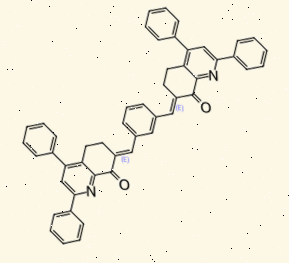 O=C1/C(=C/c2cccc(/C=C3\CCc4c(-c5ccccc5)cc(-c5ccccc5)nc4C3=O)c2)CCc2c(-c3ccccc3)cc(-c3ccccc3)nc21